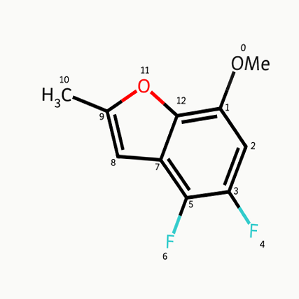 COc1cc(F)c(F)c2cc(C)oc12